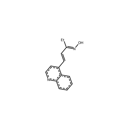 CCC(C=Cc1ccnc2ccccc12)=NO